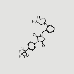 CCN(CC)c1cnccc1CN1CC(=O)N(c2ccc(S(=O)(=O)C(F)(F)F)cc2)C1=O